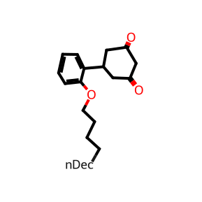 CCCCCCCCCCCCCCOc1ccccc1C1CC(=O)CC(=O)C1